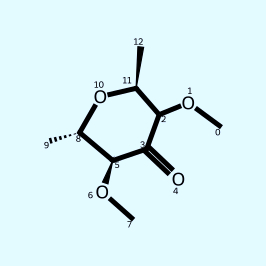 COC1C(=O)[C@@H](OC)[C@H](C)O[C@H]1C